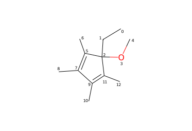 CCC1(OC)C(C)=C(C)C(C)=C1C